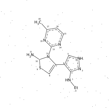 CCNc1n[nH]cc1C1=CSC(N)N1c1nccc(C)n1